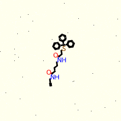 C#CCNC(=O)CCCCNC(=O)CCSC(c1ccccc1)(c1ccccc1)c1ccccc1